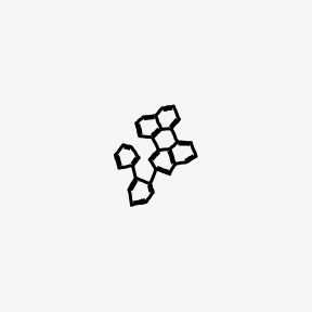 c1ccc(-c2ccccc2-c2cc3cccc4c5cccc6cccc(c(c2)c34)c65)cc1